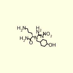 NCCC[C@H](C(N)=O)N(CC1CCC(O)CC1)C(N)=N[N+](=O)[O-]